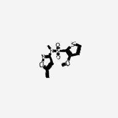 COc1ccsc1S(=O)(=O)N(C)c1cc(C)on1